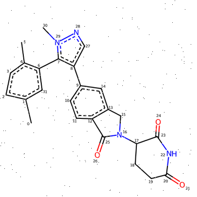 Cc1ccc(C)c(-c2c(-c3ccc4c(c3)CN(C3CCC(=O)NC3=O)C4=O)cnn2C)c1